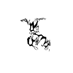 CC(=O)c1cc(C)c(NC(=O)c2cc(Cn3nnc(C(F)(F)F)n3)nn2-c2ncccc2Cl)c(C(=O)NC(C)C)c1